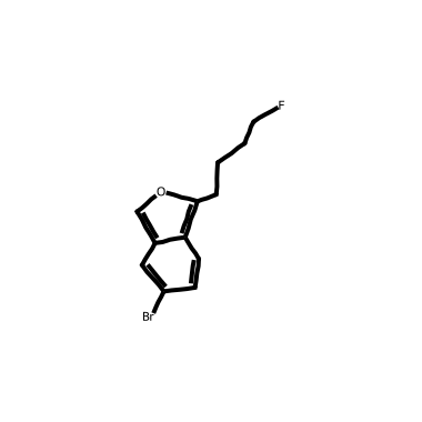 FCCCCc1occ2cc(Br)ccc12